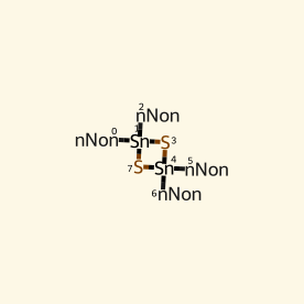 CCCCCCCC[CH2][Sn]1([CH2]CCCCCCCC)[S][Sn]([CH2]CCCCCCCC)([CH2]CCCCCCCC)[S]1